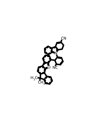 CC1(C)c2ccccc2-c2c1ccc1c2oc2c(C3C(n4c5c(c6ccccc64)C=C(C#N)CC5)=CC=CC3C#N)cccc21